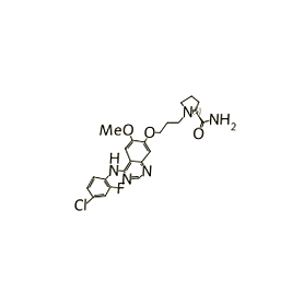 COc1cc2c(Nc3ccc(Cl)cc3F)ncnc2cc1OCCCN1CCC[C@H]1C(N)=O